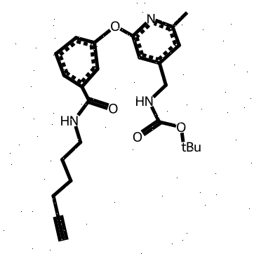 C#CCCCCNC(=O)c1cccc(Oc2cc(CNC(=O)OC(C)(C)C)cc(C)n2)c1